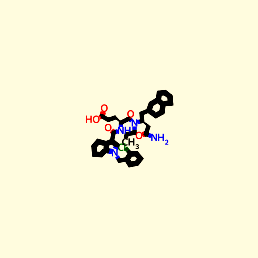 CCCN(C(=O)[C@H](CCC(=O)O)NC(=O)c1cn(Cc2ccccc2Cl)c2ccccc12)[C@H](CC(N)=O)Cc1ccc2ccccc2c1